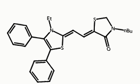 CCCCN1CS/C(=C\C=C2/SC(c3ccccc3)=C(c3ccccc3)N2CC)C1=O